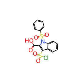 O=C(O)c1c(S(=O)(=O)Cl)c2ccccc2n1S(=O)(=O)c1ccccc1